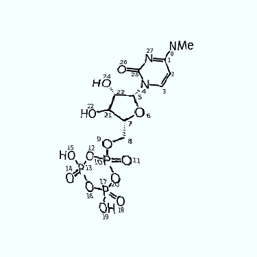 CNc1ccn([C@@H]2O[C@H](COP3(=O)OP(=O)(O)OP(=O)(O)O3)C(O)[C@@H]2O)c(=O)n1